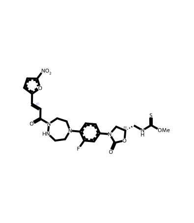 COC(=S)NC[C@H]1CN(c2ccc(N3CCNN(C(=O)/C=C/c4ccc([N+](=O)[O-])o4)CC3)c(F)c2)C(=O)O1